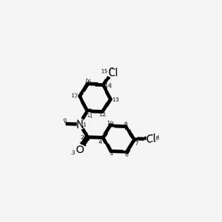 CN(C(=O)C1CCC(Cl)CC1)C1CCC(Cl)CC1